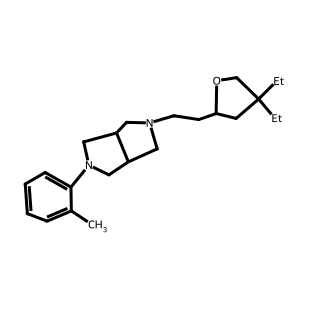 CCC1(CC)COC(CCN2CC3CN(c4ccccc4C)CC3C2)C1